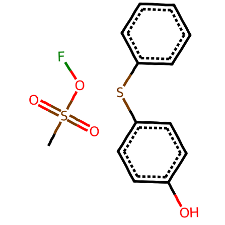 CS(=O)(=O)OF.Oc1ccc(Sc2ccccc2)cc1